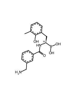 Cc1cccc(C[C@H](NC(=O)c2cccc(CN)c2)B(O)O)c1O